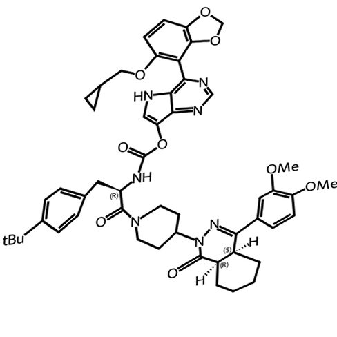 COc1ccc(C2=NN(C3CCN(C(=O)[C@@H](Cc4ccc(C(C)(C)C)cc4)NC(=O)Oc4c[nH]c5c(-c6c(OCC7CC7)ccc7c6OCO7)ncnc45)CC3)C(=O)[C@@H]3CCCC[C@H]23)cc1OC